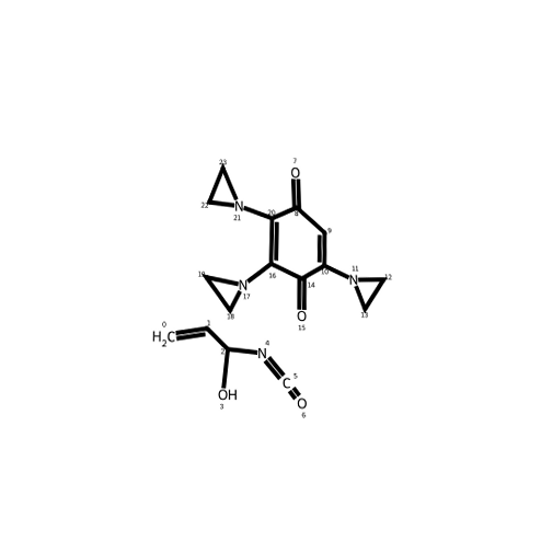 C=CC(O)N=C=O.O=C1C=C(N2CC2)C(=O)C(N2CC2)=C1N1CC1